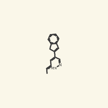 C/C=C/C=C(\C=N/CCCCCC)C1=Cc2ccccc2C1